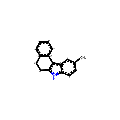 Cc1ccc2[nH]c3c(c2c1)-c1ccccc1CC3